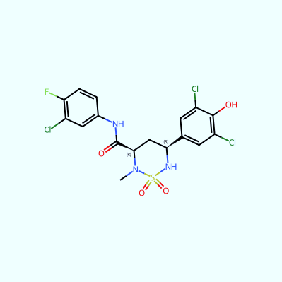 CN1[C@@H](C(=O)Nc2ccc(F)c(Cl)c2)C[C@@H](c2cc(Cl)c(O)c(Cl)c2)NS1(=O)=O